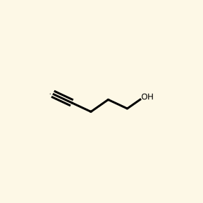 [C]#CCCCO